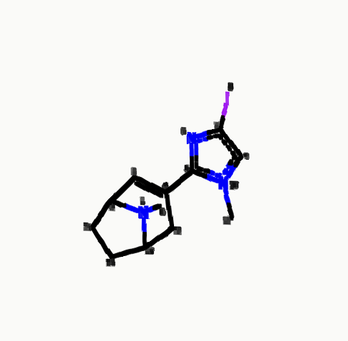 CN1C2C=C(c3nc(I)cn3C)CC1CC2